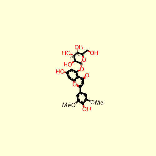 COc1cc(-c2cc(=O)c3c(O[C@@H]4OC(CO)[C@@H](O)[C@H](O)C4O)cc(O)cc3o2)cc(OC)c1O